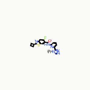 CC(C)n1cnnc1-c1cccc(NC(=O)c2cc3sc(C4CCC4)nc3cc2F)n1